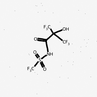 O=C(NS(=O)(=O)C(F)(F)F)C(O)(C(F)(F)F)C(F)(F)F